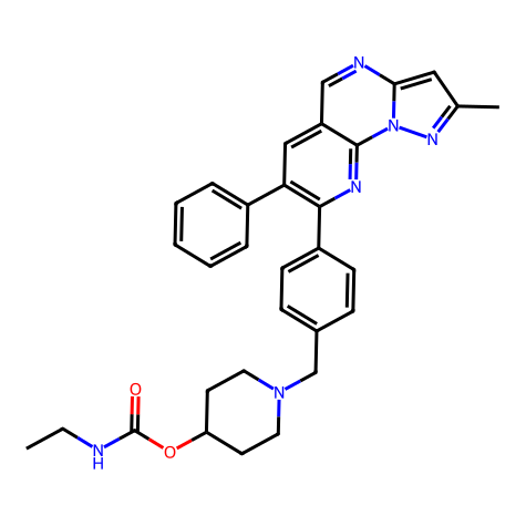 CCNC(=O)OC1CCN(Cc2ccc(-c3nc4c(cnc5cc(C)nn54)cc3-c3ccccc3)cc2)CC1